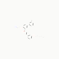 CCCCCCOc1cccc(/C=C/C(=O)c2cc(-c3cc(C)cc(C)c3)ccc2OCCN(C)C)c1